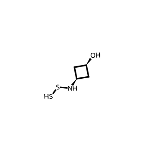 O[C@H]1C[C@@H](NSS)C1